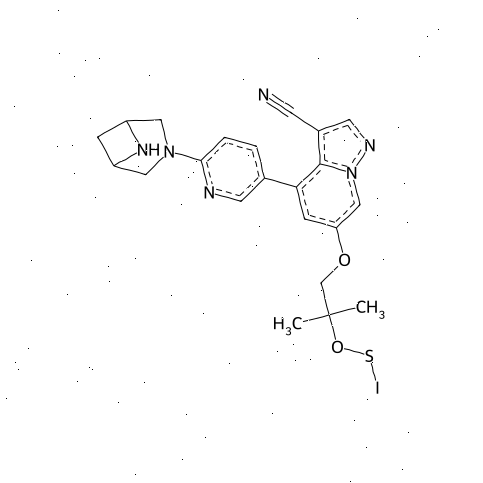 CC(C)(COc1cc(-c2ccc(N3CC4CC(C3)N4)nc2)c2c(C#N)cnn2c1)OSI